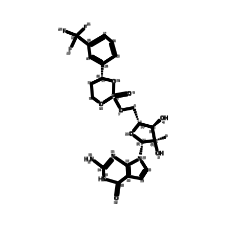 C[C@@]1(O)[C@H](O)[C@@H](COP2(=O)OCC[C@H](c3cccc(C(F)(F)F)c3)O2)O[C@H]1n1ccc2c(=O)[nH]c(N)nc21